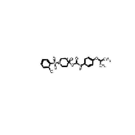 CC(C)Oc1ccc(NC(=O)OC2(O)CCN(S(=O)(=O)c3ccccc3Cl)CC2)cc1